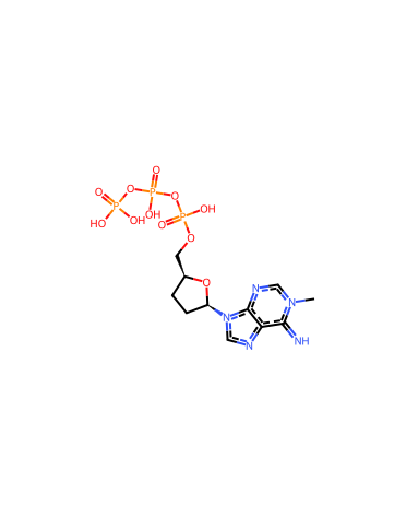 Cn1cnc2c(ncn2[C@H]2CC[C@@H](COP(=O)(O)OP(=O)(O)OP(=O)(O)O)O2)c1=N